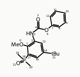 COc1c(NC(=O)Oc2ccccc2)cc(C(C)(C)C)cc1P(C)(C)=O